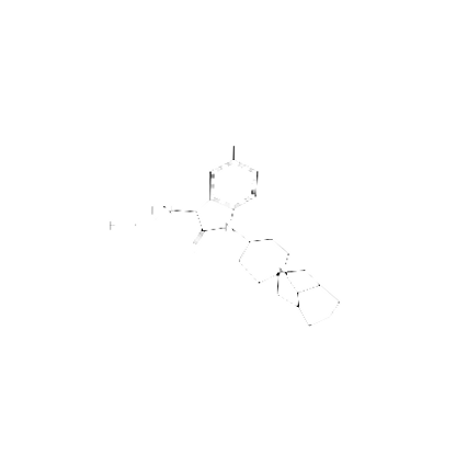 CCOC(=O)NC1C(=O)N(C2CCN(C3C4CCCC3CCC4)CC2)c2ccc(F)cc21